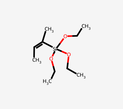 CC=C(C)[Si](OCC)(OCC)OCC